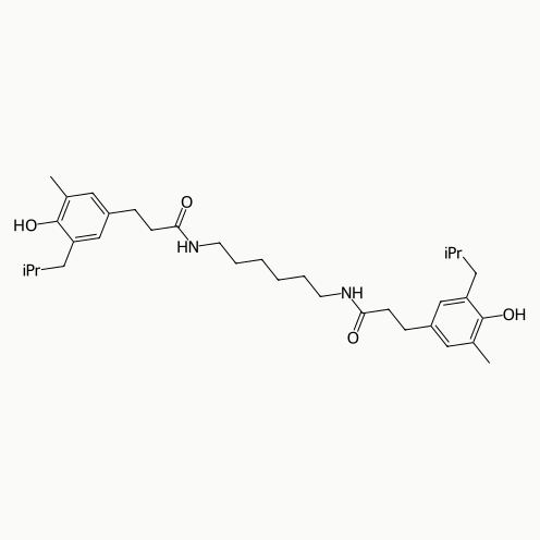 Cc1cc(CCC(=O)NCCCCCCNC(=O)CCc2cc(C)c(O)c(CC(C)C)c2)cc(CC(C)C)c1O